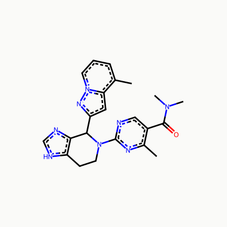 Cc1nc(N2CCc3[nH]cnc3C2c2cc3c(C)cccn3n2)ncc1C(=O)N(C)C